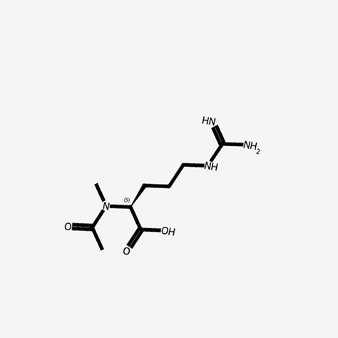 CC(=O)N(C)[C@@H](CCCNC(=N)N)C(=O)O